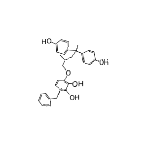 CC(COc1ccc(Cc2ccccc2)c(O)c1O)CC(C)(c1ccc(O)cc1)c1ccc(O)cc1